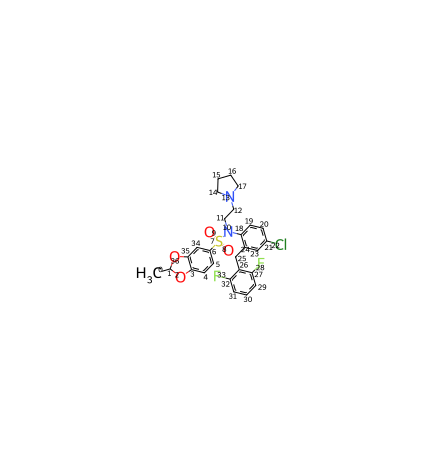 CC1Oc2ccc(S(=O)(=O)N(CCN3CCCC3)c3ccc(Cl)cc3Cc3c(F)cccc3F)cc2O1